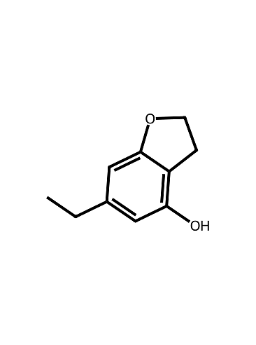 CCc1cc(O)c2c(c1)OCC2